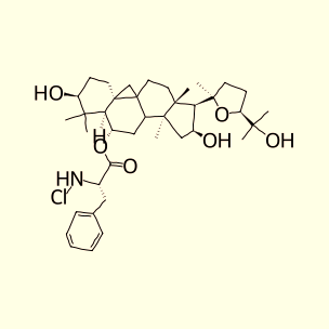 CC(C)(O)[C@@H]1CC[C@](C)([C@H]2[C@@H](O)C[C@@]3(C)C4C[C@H](OC(=O)[C@H](Cc5ccccc5)NCl)[C@H]5C(C)(C)[C@@H](O)CC[C@@]56CC46CC[C@]23C)O1